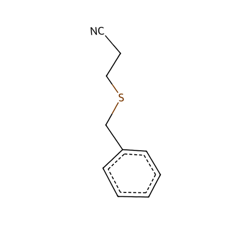 N#CCCSCc1ccccc1